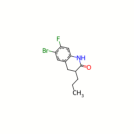 CCCC1Cc2cc(Br)c(F)cc2NC1=O